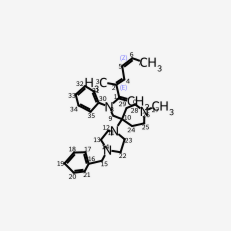 C=C(/C(C)=C/C=C\C)N(CC1(N2CCN(Cc3ccccc3)CC2)CCN(C)CC1)c1ccccc1